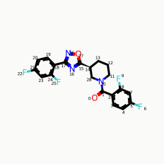 O=C(c1ccc(F)cc1F)N1CCC[C@H](c2nc(-c3ccc(F)cc3F)no2)C1